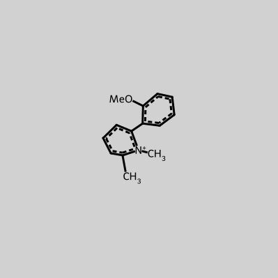 COc1ccccc1-c1cccc(C)[n+]1C